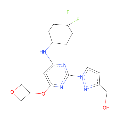 OCc1ccn(-c2nc(NC3CCC(F)(F)CC3)cc(OC3COC3)n2)n1